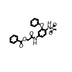 CS(=O)(=O)Nc1ccc(NC(=O)COC(=O)c2ccccc2)cc1Oc1ccccc1